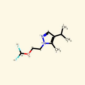 Cc1c(C(C)C)cnn1CCOC(F)F